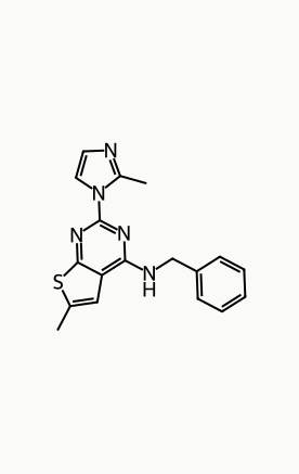 Cc1cc2c(NCc3ccccc3)nc(-n3ccnc3C)nc2s1